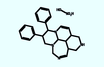 C1=CN2C(c3ccccc3)C(c3ccccc3)CN3CN=CC4CNCC1C4C32.O=S(=O)(O)O